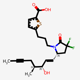 CC#CC[C@H](C)[C@@H](O)C=C[C@H]1CC(F)(F)C(=O)N1CCCc1ccc(C(=O)O)s1